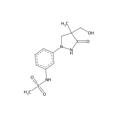 CC1(CO)CN(c2cccc(NS(C)(=O)=O)c2)NC1=O